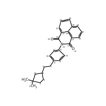 CC1(C)CCC(CCc2ccc(N3C(=O)c4cccc5cccc(c45)C3=O)cc2)C1